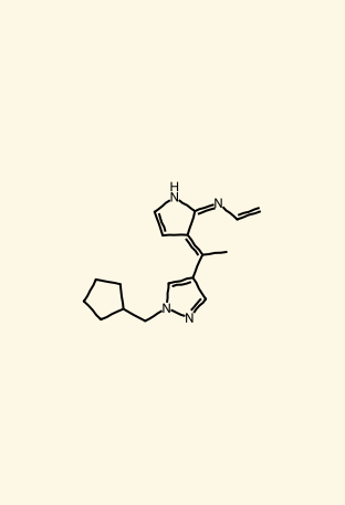 C=C/N=C1/NC=C/C1=C(/C)c1cnn(CC2CCCC2)c1